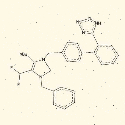 CCCCC1=C(C(F)F)N(Cc2ccccc2)CN1Cc1ccc(-c2ccccc2-c2nnn[nH]2)cc1